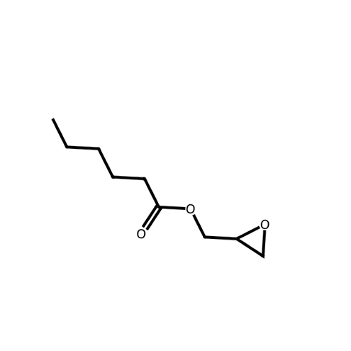 CCCCCC(=O)OCC1CO1